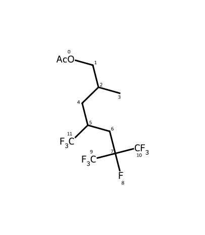 CC(=O)OCC(C)CC(CC(F)(C(F)(F)F)C(F)(F)F)C(F)(F)F